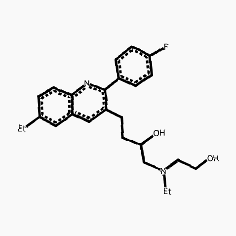 CCc1ccc2nc(-c3ccc(F)cc3)c(CCC(O)CN(CC)CCO)cc2c1